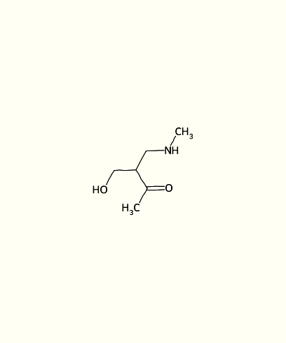 CNCC(CO)C(C)=O